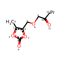 Cc1oc(=O)oc1COCC(=O)C(C)C